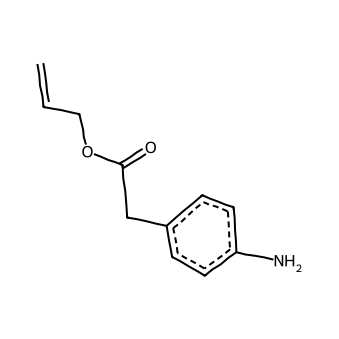 C=CCOC(=O)Cc1ccc(N)cc1